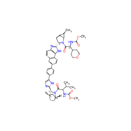 COC(=O)NC(C(=O)N1[C@@H]2CC[C@@H](C2)[C@H]1c1ncc(-c2ccc(-c3ccc4c(ccc5nc([C@@H]6CC7C(C)C7N6C(=O)[C@@H](NC(=O)OC)C6CCOCC6)[nH]c54)c3)cc2)[nH]1)C(C)C